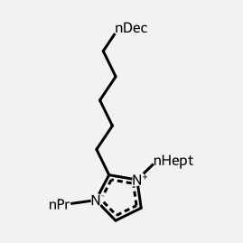 CCCCCCCCCCCCCCCc1n(CCC)cc[n+]1CCCCCCC